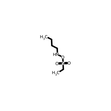 CCCCNOS(=O)(=O)CC